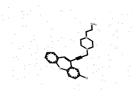 CC(=O)OCCN1CCN(CC#CC2=Cc3ccccc3Sc3ccc(Cl)cc32)CC1